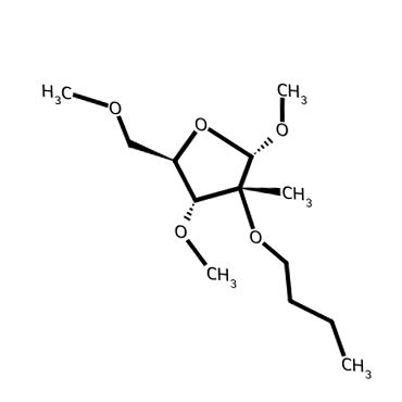 CCCCO[C@@]1(C)[C@@H](OC)O[C@H](COC)[C@H]1OC